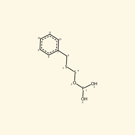 OP(O)OSSCc1ccccc1